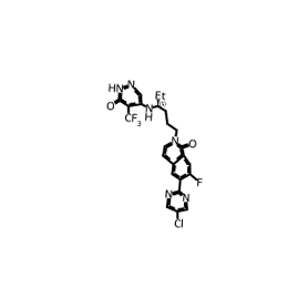 CC[C@@H](CCCn1ccc2cc(-c3ncc(Cl)cn3)c(F)cc2c1=O)Nc1cn[nH]c(=O)c1C(F)(F)F